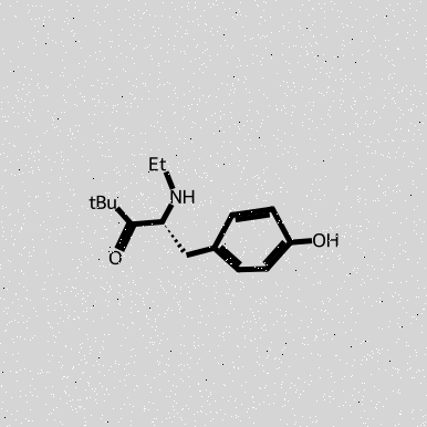 CCN[C@H](Cc1ccc(O)cc1)C(=O)C(C)(C)C